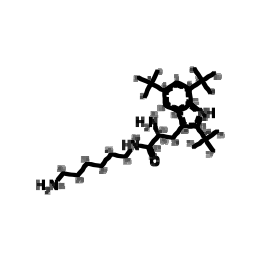 CC(C)(C)c1cc(C(C)(C)C)c2[nH]c(C(C)(C)C)c(C[C@H](N)C(=O)NCCCCCCN)c2c1